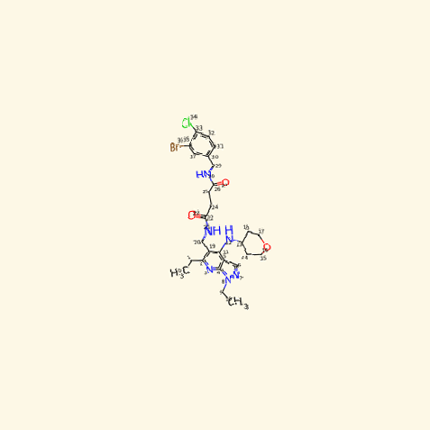 CCc1nc2c(cnn2CC)c(NC2CCOCC2)c1CNC(=O)CCC(=O)NCc1ccc(Cl)c(Br)c1